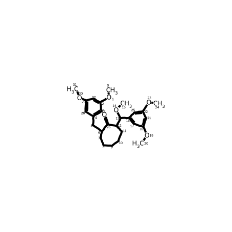 COc1cc(CC2CCCCCC(C(OC)c3cc(OC)cc(OC)c3)C2=O)cc(OC)c1